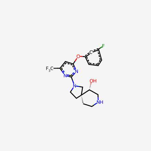 O[C@@H]1CNCC[C@@]12CCN(c1nc(Oc3cccc(F)c3)cc(C(F)(F)F)n1)C2